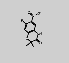 CC1(C)Oc2cc(F)c([N+](=O)[O-])cc2NC1=O